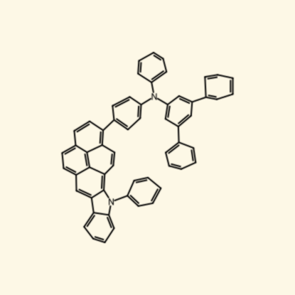 c1ccc(-c2cc(-c3ccccc3)cc(N(c3ccccc3)c3ccc(-c4ccc5ccc6cc7c8ccccc8n(-c8ccccc8)c7c7ccc4c5c67)cc3)c2)cc1